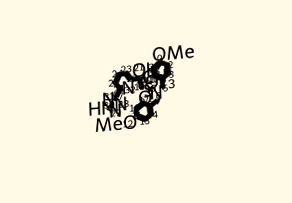 COc1ccc(CN(Cc2ccc(OC)cc2)S(=O)(=O)C[C@](C)(O)c2cccc(-c3nn[nH]n3)n2)cc1